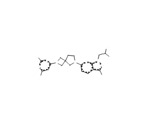 Cc1nc(N2CC3(CCN(c4ccc5c(C)nn(CC(F)F)c5n4)C3)C2)cc(C(F)(F)F)n1